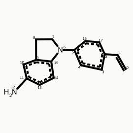 C=Cc1ccc(N2CCc3cc(N)ccc32)cc1